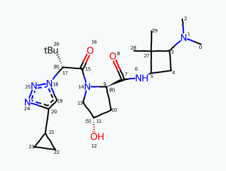 CN(C)C1CC(NC(=O)[C@H]2C[C@H](O)CN2C(=O)[C@H](n2cc(C3CC3)nn2)C(C)(C)C)C1(C)C